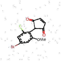 COc1cc(Br)cc(F)c1C1C(=O)C=CC1=O